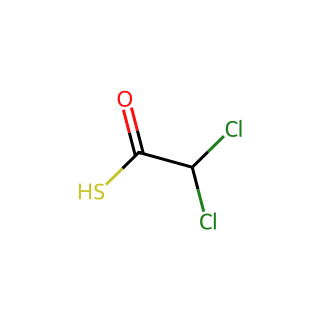 O=C(S)C(Cl)Cl